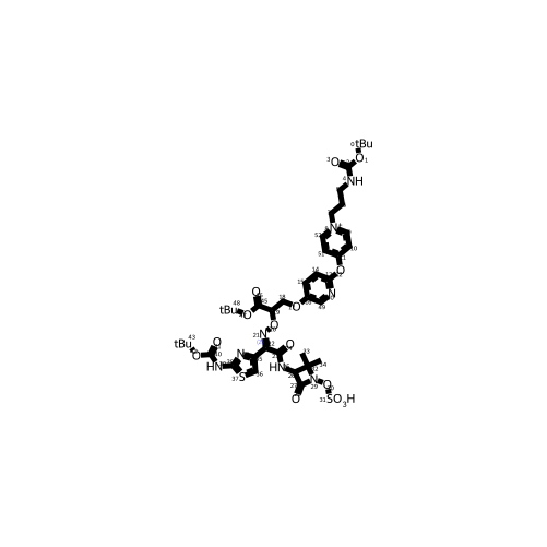 CC(C)(C)OC(=O)NCCC[n+]1ccc(Oc2ccc(OCC(O/N=C(\C(=O)NC3C(=O)N(OS(=O)(=O)O)C3(C)C)c3csc(NC(=O)OC(C)(C)C)n3)C(=O)OC(C)(C)C)cn2)cc1